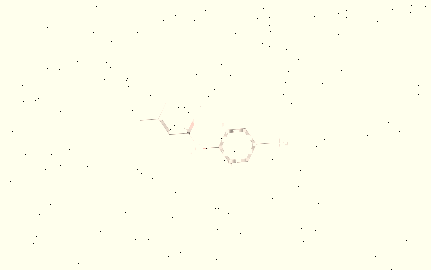 CC(C)=CC(=O)Oc1ccc(C(C)(C)C)cc1